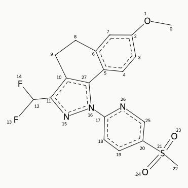 COc1ccc2c(c1)CCc1c(C(F)F)nn(-c3ccc(S(C)(=O)=O)cn3)c1-2